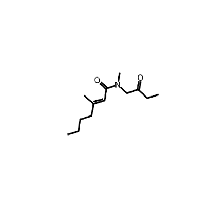 CCCC/C(C)=C/C(=O)N(C)CC(=O)CC